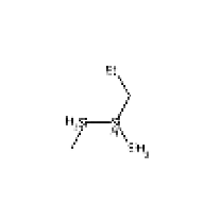 CCC[SiH]([SiH3])[SiH2]C